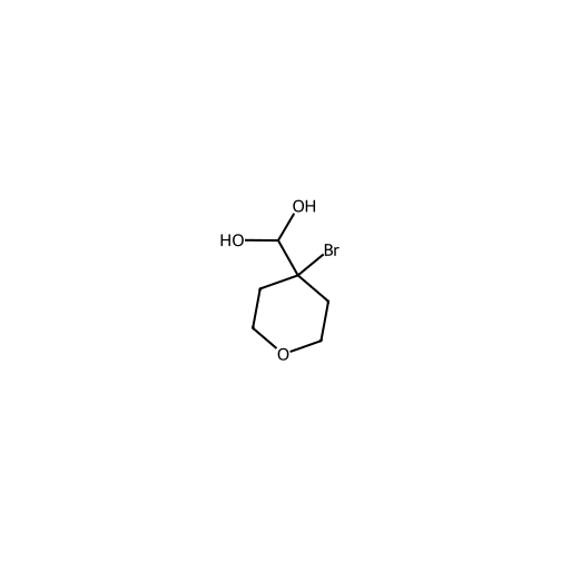 OC(O)C1(Br)CCOCC1